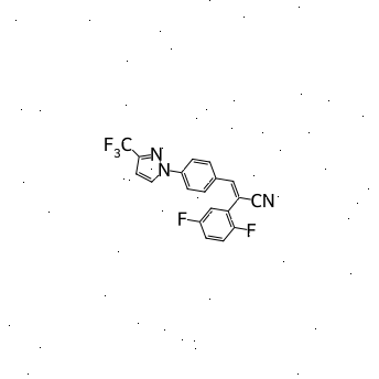 N#CC(=Cc1ccc(-n2ccc(C(F)(F)F)n2)cc1)c1cc(F)ccc1F